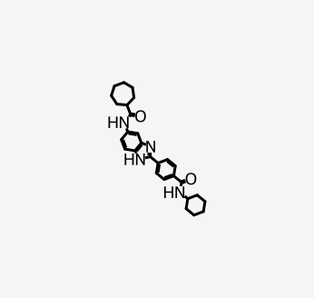 O=C(NC1CCCCC1)c1ccc(-c2nc3cc(NC(=O)C4CCCCCC4)ccc3[nH]2)cc1